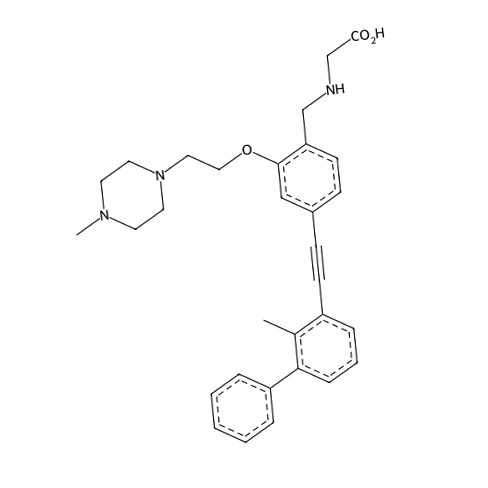 Cc1c(C#Cc2ccc(CNCC(=O)O)c(OCCN3CCN(C)CC3)c2)cccc1-c1ccccc1